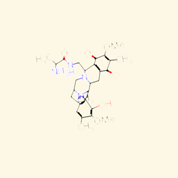 COC1=C(C)C(=O)C2=C(C1=O)C(CNC(=O)C(C)N)N1CC3Cc4cc(C)c(OC)c(O)c4C(C1C2)N3C